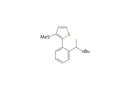 CCCCC(C)c1ccccc1-c1sccc1SC